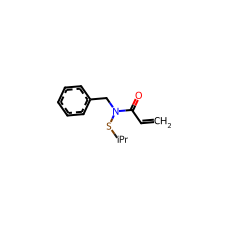 C=CC(=O)N(Cc1ccccc1)SC(C)C